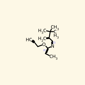 C#CCOC(=C/C)/N=C\C(=C)C(C)(C)C